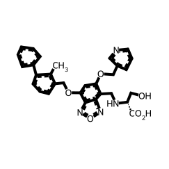 Cc1c(COc2cc(OCc3cccnc3)c(CN[C@H](CO)C(=O)O)c3nonc23)cccc1-c1ccccc1